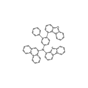 c1ccc(-c2cc(N(c3cc4ccccc4c4ccccc34)c3cccc4c3sc3ccccc34)ccc2-c2cccc3oc4ccccc4c23)cc1